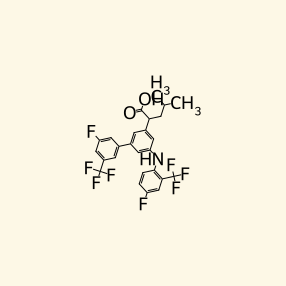 CC(C)CC(C(=O)O)c1cc(Nc2ccc(F)cc2C(F)(F)F)cc(-c2cc(F)cc(C(F)(F)F)c2)c1